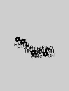 COc1cc(NC(=O)OCCCc2ccc(-c3ccccc3)c(NC(=O)O)c2)c(Cl)cc1CNC[C@@H](O[Si](C)(C)C(C)(C)C)c1ccc(O)c2[nH]c(=O)ccc12